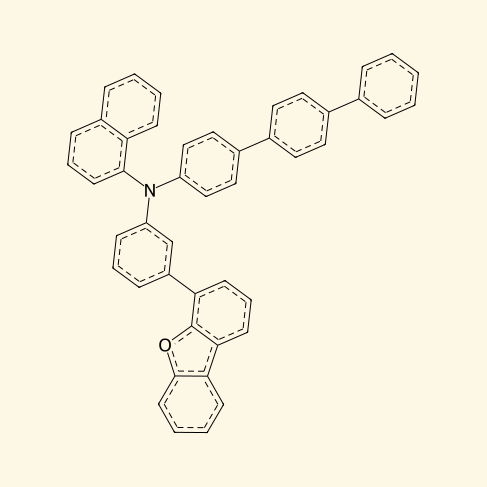 c1ccc(-c2ccc(-c3ccc(N(c4cccc(-c5cccc6c5oc5ccccc56)c4)c4cccc5ccccc45)cc3)cc2)cc1